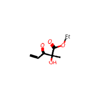 C=CC(=O)C(C)(O)C(=O)OCC